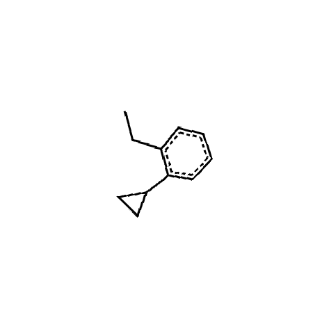 CCc1ccccc1C1CC1